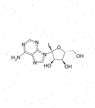 Nc1ncnc2c1ncn2[C@]1(I)O[C@H](CO)[C@@H](O)[C@H]1O